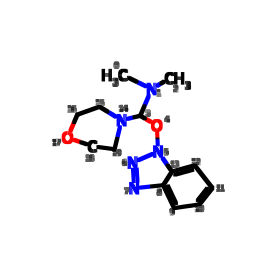 CN(C)C(On1nnc2ccccc21)N1CCOCC1